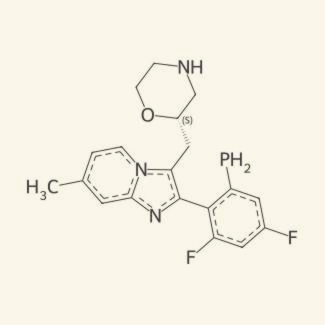 Cc1ccn2c(C[C@H]3CNCCO3)c(-c3c(F)cc(F)cc3P)nc2c1